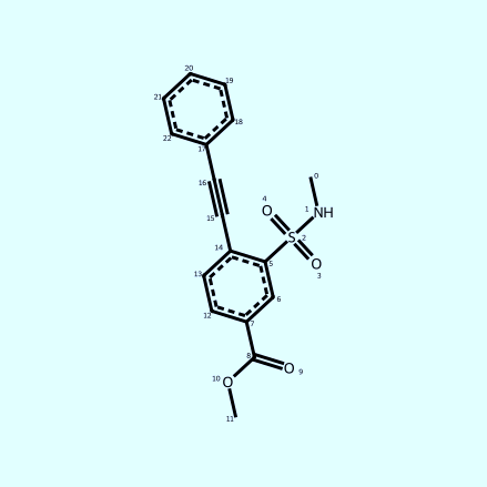 CNS(=O)(=O)c1cc(C(=O)OC)ccc1C#Cc1ccccc1